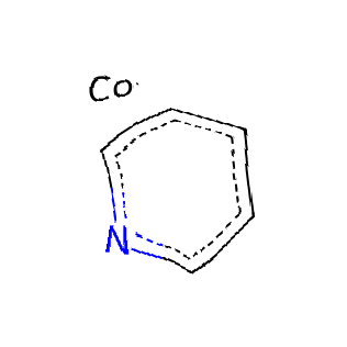 [Co].c1ccncc1